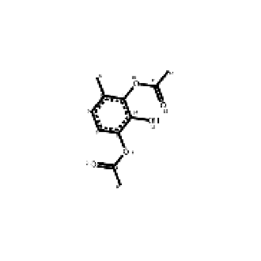 CC(=O)Oc1ccc(C)c(OC(C)=O)c1O